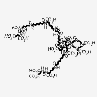 O=C(O)CCC(NC(=O)N[C@@H](CCCCNC(=O)CCCCCCC(=O)NC(CCCCc1[nH]nnc1C(=O)NC(CCCCNC(=O)c1cn(CCCCC(NC(=O)CCCCCCC(=O)NCCCC[C@H](NC(=O)NC(CCC(=O)O)C(=O)O)C(=O)O)C(=O)O)nn1)C(=O)NC(CCCCNC(=O)CN1CCN(CC(=O)O)CCN(CC(=O)O)CCN(CC(=O)O)CC1)C(=O)O)C(=O)O)C(=O)O)C(=O)O